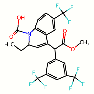 CCC1C=C(C(C(=O)OC)c2cc(C(F)(F)F)cc(C(F)(F)F)c2)c2cc(C(F)(F)F)ccc2N1C(=O)O